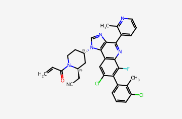 C=CC(=O)N1CC[C@H](n2cnc3c(-c4cccnc4C)nc4c(F)c(-c5cccc(Cl)c5C)c(Cl)cc4c32)C[C@H]1CC#N